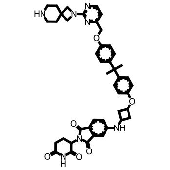 CC(C)(c1ccc(OCc2ccnc(N3CC4(CCNCC4)C3)n2)cc1)c1ccc(OC2CC(Nc3ccc4c(c3)C(=O)N(C3CCC(=O)NC3=O)C4=O)C2)cc1